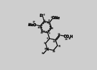 CCc1c(OC)cc(C2CN(C)CCC2=CC(=O)O)cc1OC